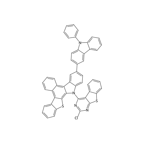 Clc1nc(-n2c3ccc(-c4ccc5c(c4)c4ccccc4n5-c4ccccc4)cc3c3c4ccccc4c4c5ccccc5sc4c32)c2c(n1)sc1ccccc12